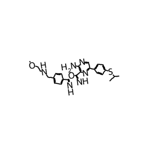 COCCNCc1ccc(C(=N)OC(=N)c2nc(-c3ccc(SC(C)C)cc3)cnc2N)cc1